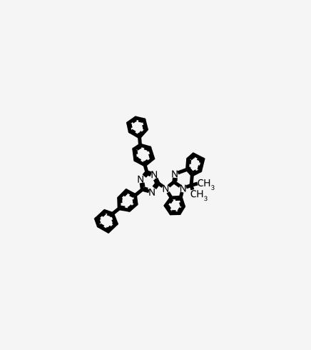 CC1(C)c2ccccc2N=C2N(c3nc(-c4ccc(-c5ccccc5)cc4)nc(-c4ccc(-c5ccccc5)cc4)n3)c3ccccc3N21